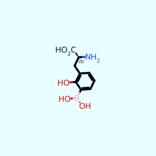 N[C@@H](Cc1cccc(B(O)O)c1O)C(=O)O